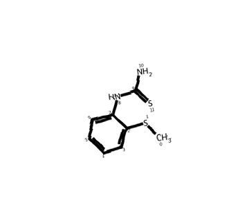 CSc1ccccc1NC(N)=S